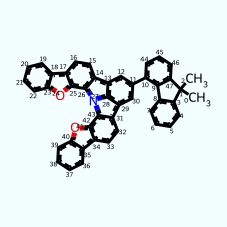 CC1(C)c2ccccc2-c2c(-c3cc4c5ccc6c7ccccc7oc6c5n5c4c(c3)c3ccc4c6ccccc6oc4c35)cccc21